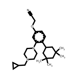 CC1(C)CC(c2ccc(OCC#N)cc2N2CCN(CC3CC3)CC2)CC(C)(C)C1